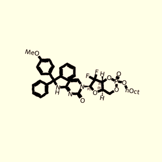 CCCCCCCCOP1(=O)OC[C@H]2O[C@@H](n3ccc(NC(c4ccccc4)(c4ccccc4)c4ccc(OC)cc4)nc3=O)C(F)(F)[C@@H]2O1